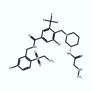 CCS(=O)(=O)c1ccc(Cl)cc1CNC(=O)c1cc(Br)c(CN2CCC[C@H](NC(=O)CNC)C2)c(C(F)(F)F)c1